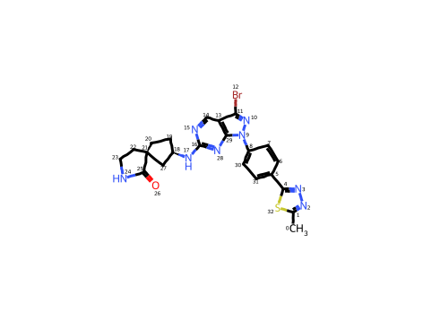 Cc1nnc(-c2ccc(-n3nc(Br)c4cnc(N[C@@H]5CC[C@@]6(CCNC6=O)C5)nc43)cc2)s1